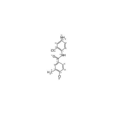 Cc1cc(C(=O)Nc2ccc(N)cc2Cl)ccc1Cl